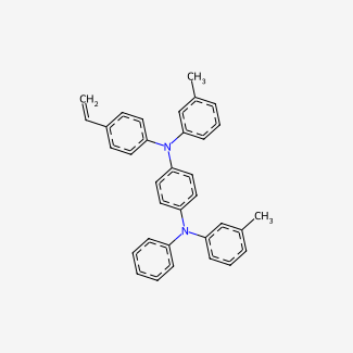 C=Cc1ccc(N(c2ccc(N(c3ccccc3)c3cccc(C)c3)cc2)c2cccc(C)c2)cc1